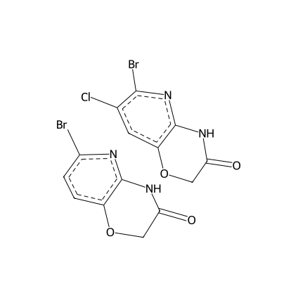 O=C1COc2cc(Cl)c(Br)nc2N1.O=C1COc2ccc(Br)nc2N1